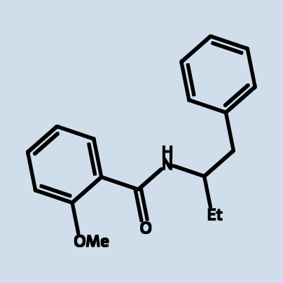 CCC(Cc1ccccc1)NC(=O)c1ccccc1OC